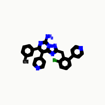 N#Cc1cccc(-c2nc(N)n3nc(Cc4c(F)cccc4-c4ccncc4)nc3c2-c2ccncc2)c1